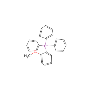 COc1ccccc1[P+](c1ccccc1)(c1ccccc1)c1ccccc1